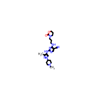 Cc1nn(C2CCN(C)CC2)cc1Nc1ncc(C#N)c(NCCCN2CCCOC2=O)n1